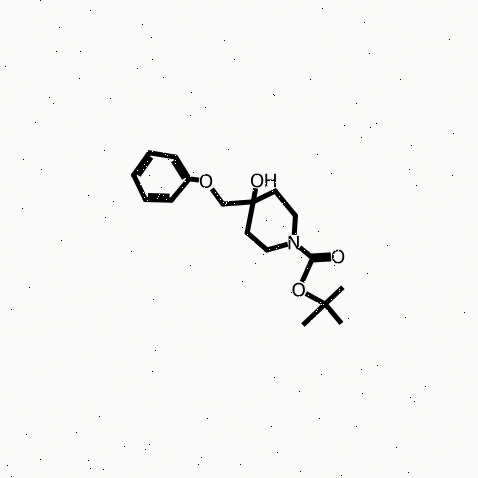 CC(C)(C)OC(=O)N1CCC(O)(COc2ccccc2)CC1